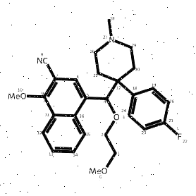 COCCOC(c1cc(C#N)c(OC)c2ccccc12)C1(c2ccc(F)cc2)CCN(C)CC1